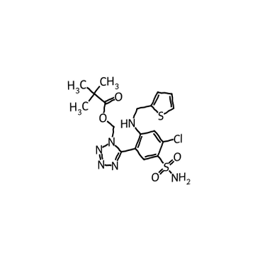 CC(C)(C)C(=O)OCn1nnnc1-c1cc(S(N)(=O)=O)c(Cl)cc1NCc1cccs1